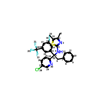 Cc1nc(N[C@@](Cc2ccccc2)(c2cc(F)cc(C(F)(F)F)c2)c2ccc(Cl)cn2)sc1C